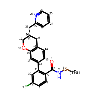 CC(C)(C)SNC(=O)c1ccc(F)cc1-c1ccc2c(c1)OC[C@H](Cc1ccccn1)C2